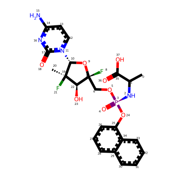 CC(N[P@@](=O)(OC[C@@]1(F)O[C@@H](n2ccc(N)nc2=O)[C@](C)(F)[C@@H]1O)Oc1cccc2ccccc12)C(=O)O